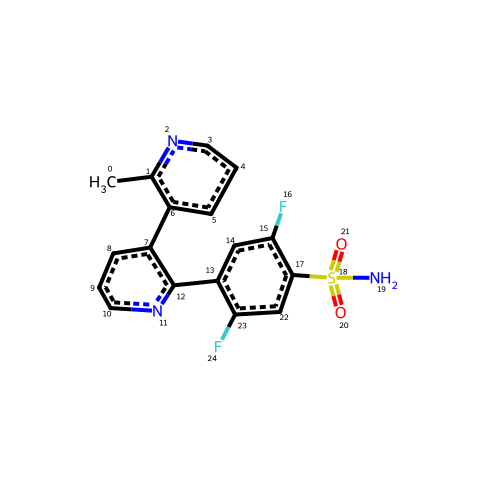 Cc1ncccc1-c1cccnc1-c1cc(F)c(S(N)(=O)=O)cc1F